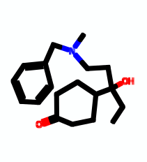 CCC(O)(CCN(C)Cc1ccccc1)C1CCC(=O)CC1